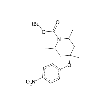 CC1CC(C)(Oc2ccc([N+](=O)[O-])cc2)CC(C)N1C(=O)OC(C)(C)C